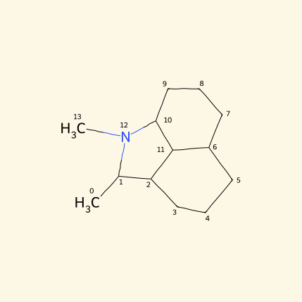 CC1C2CCCC3CCCC(C32)N1C